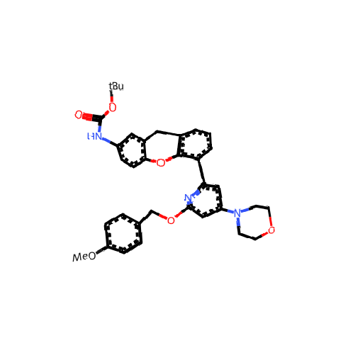 COc1ccc(COc2cc(N3CCOCC3)cc(-c3cccc4c3Oc3ccc(NC(=O)OC(C)(C)C)cc3C4)n2)cc1